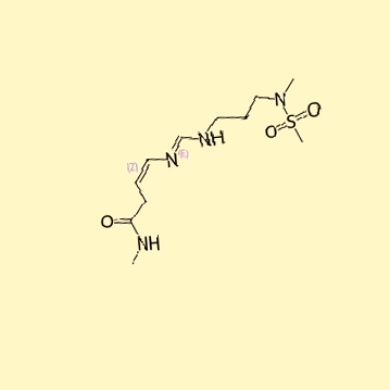 CNC(=O)C/C=C\N=C\NCCCN(C)S(C)(=O)=O